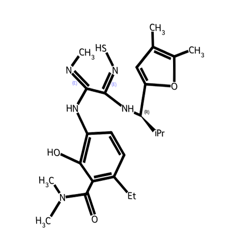 CCc1ccc(NC(=N/C)/C(=N\S)N[C@@H](c2cc(C)c(C)o2)C(C)C)c(O)c1C(=O)N(C)C